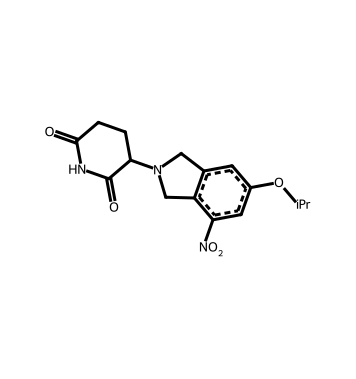 CC(C)Oc1cc2c(c([N+](=O)[O-])c1)CN(C1CCC(=O)NC1=O)C2